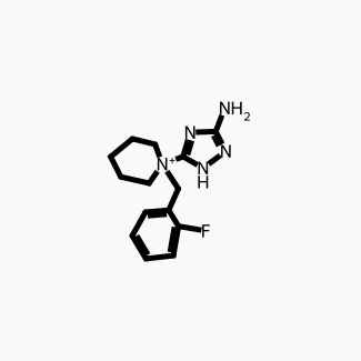 Nc1n[nH]c([N+]2(Cc3ccccc3F)CCCCC2)n1